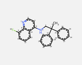 CC(CNc1ccnc2c(F)cccc12)(c1ccccc1)c1ccccc1